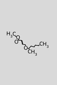 CCCCCC(C)OC/C=C/C(=O)OCC